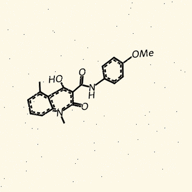 COc1ccc(NC(=O)c2c(O)c3c(C)cccc3n(C)c2=O)cc1